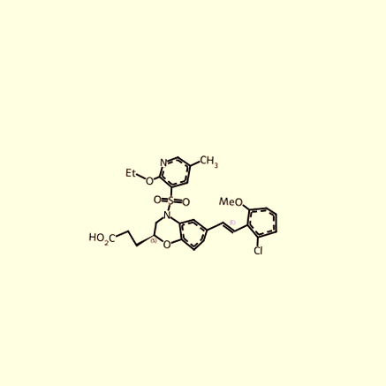 CCOc1ncc(C)cc1S(=O)(=O)N1C[C@H](CCC(=O)O)Oc2ccc(/C=C/c3c(Cl)cccc3OC)cc21